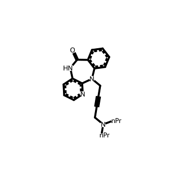 CCCN(CC#CCN1c2ccccc2C(=O)Nc2cccnc21)CCC